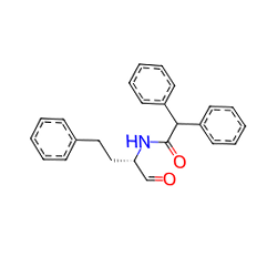 O=C[C@H](CCc1ccccc1)NC(=O)C(c1ccccc1)c1ccccc1